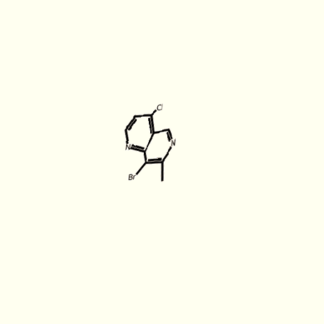 Cc1ncc2c(Cl)ccnc2c1Br